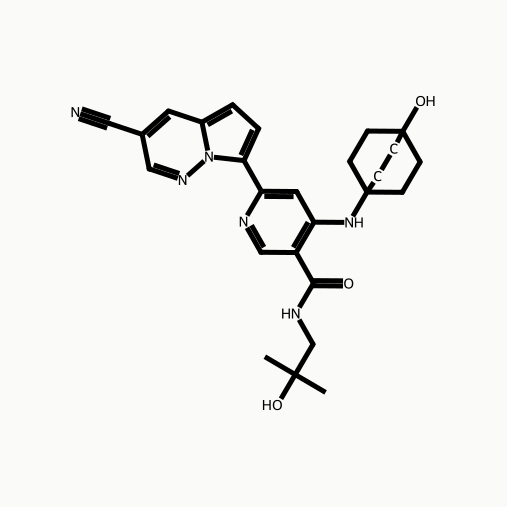 CC(C)(O)CNC(=O)c1cnc(-c2ccc3cc(C#N)cnn23)cc1NC12CCC(O)(CC1)CC2